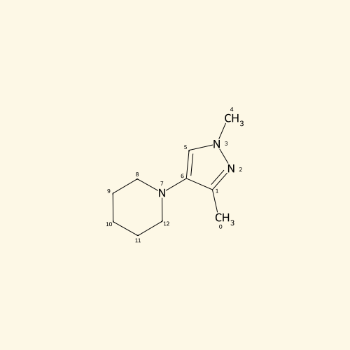 Cc1nn(C)cc1N1CCCCC1